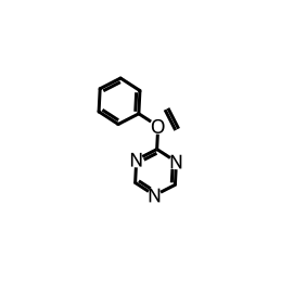 C=C.c1ccc(Oc2ncncn2)cc1